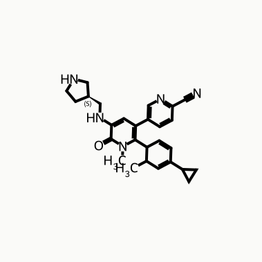 CC1C=C(C2CC2)C=CC1c1c(-c2ccc(C#N)nc2)cc(NC[C@H]2CCNC2)c(=O)n1C